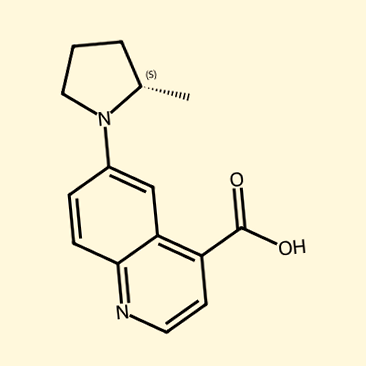 C[C@H]1CCCN1c1ccc2nccc(C(=O)O)c2c1